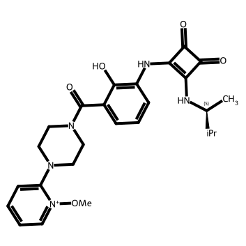 CO[n+]1ccccc1N1CCN(C(=O)c2cccc(Nc3c(N[C@@H](C)C(C)C)c(=O)c3=O)c2O)CC1